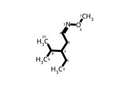 CCC(C/C=N\OC)C(C)C